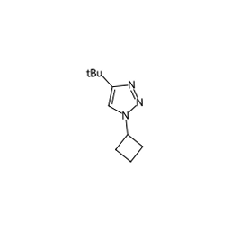 CC(C)(C)c1cn(C2CCC2)nn1